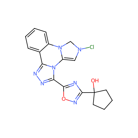 OC1(c2noc(-c3nnc4n3C3=CN(Cl)CN3c3ccccc3-4)n2)CCCC1